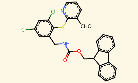 O=Cc1cccnc1Sc1c(Cl)cc(Cl)cc1CNC(=O)OCC1c2ccccc2-c2ccccc21